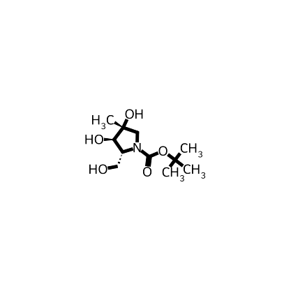 CC(C)(C)OC(=O)N1C[C@@](C)(O)[C@H](O)[C@H]1CO